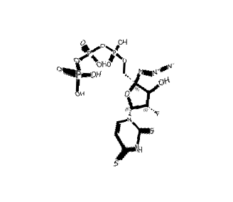 [N-]=[N+]=N[C@]1(COP(=O)(O)OP(=O)(O)OP(=O)(O)O)O[C@@H](n2ccc(=S)[nH]c2=S)[C@@H](F)C1O